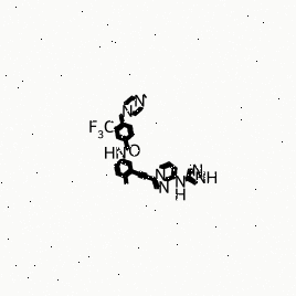 Cc1ccc(NC(=O)c2ccc(CN3CCN(C)CC3)c(C(F)(F)F)c2)cc1C#Cc1cnc2c(Nc3cn[nH]c3)cccn12